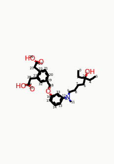 CCC(O)(CC)CCCCN(C)c1cccc(OCc2ccc(CC(=O)O)c(CC(=O)O)c2)c1